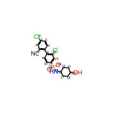 N#Cc1cc(Cl)ccc1-c1ccc(S(=O)(=O)NC2CCC(O)CC2)cc1Cl